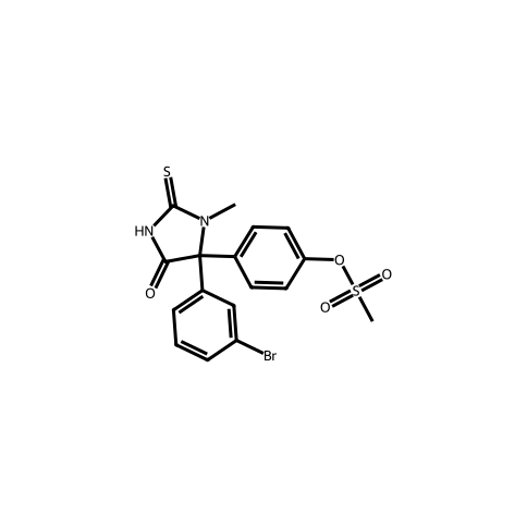 CN1C(=S)NC(=O)C1(c1ccc(OS(C)(=O)=O)cc1)c1cccc(Br)c1